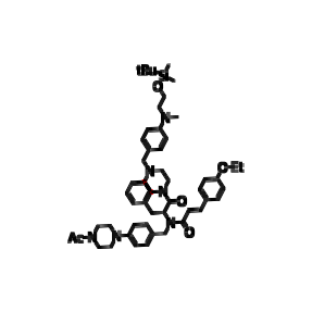 CCOc1ccc(C=CC(=O)N(Cc2ccc(N3CCN(C(C)=O)CC3)cc2)[C@@H](Cc2ccccc2)C(=O)N2CCN(Cc3ccc(N(C)CCO[Si](C)(C)C(C)(C)C)cc3)CC2)cc1